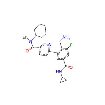 CCN(C(=O)c1ccc(-c2cc(C(=O)NC3CC3)cc(F)c2CN)nc1)C1CCCCC1